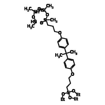 CCO[Si](CCCOc1ccc(C(C)(C)c2ccc(OCCC[Si]3(C)O[SiH](C)O[SiH](C)O[SiH](C)O3)cc2)cc1)(OCC)OCC